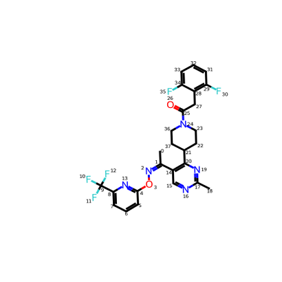 CC(=NOc1cccc(C(F)(F)F)n1)c1cnc(C)nc1C1CCN(C(=O)Cc2c(F)cccc2F)CC1